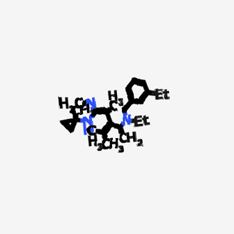 C=N/C(NC1(C)CC1)=C(\C)C(C(=C)N(CC)Cc1cccc(CC)c1)=C(C)C